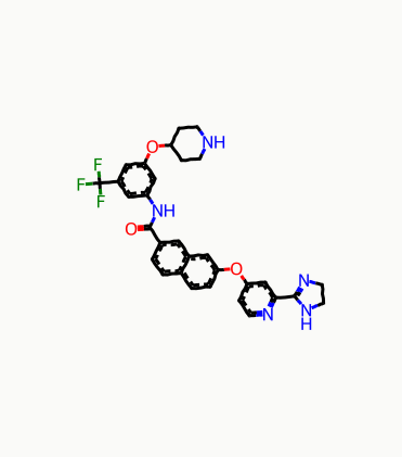 O=C(Nc1cc(OC2CCNCC2)cc(C(F)(F)F)c1)c1ccc2ccc(Oc3ccnc(C4=NCCN4)c3)cc2c1